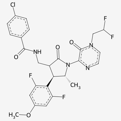 COc1cc(F)c([C@H]2C(CNC(=O)c3ccc(Cl)cc3)C(=O)N(c3nccn(CC(F)F)c3=O)[C@@H]2C)c(F)c1